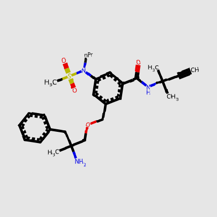 C#CC(C)(C)NC(=O)c1cc(COCC(C)(N)Cc2ccccc2)cc(N(CCC)S(C)(=O)=O)c1